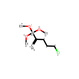 C=C(CCCCl)[Si](OCC)(OCC)OCC